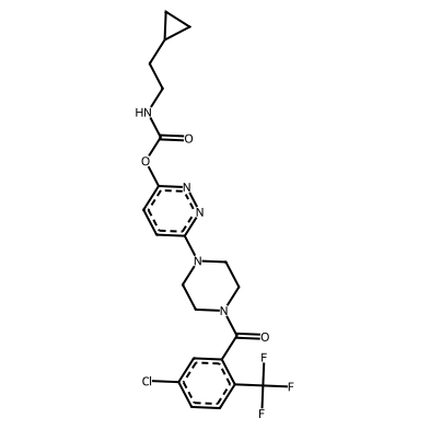 O=C(NCCC1CC1)Oc1ccc(N2CCN(C(=O)c3cc(Cl)ccc3C(F)(F)F)CC2)nn1